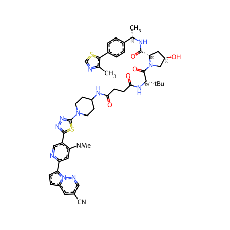 CNc1cc(-c2ccc3cc(C#N)cnn23)ncc1-c1nnc(N2CCC(NC(=O)CCC(=O)N[C@H](C(=O)N3C[C@H](O)C[C@H]3C(=O)N[C@@H](C)c3ccc(-c4scnc4C)cc3)C(C)(C)C)CC2)s1